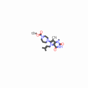 CC(C)=CCn1c(N2CCCN(C(=O)OC(C)(C)C)CC2)c(C#N)c2c1c(=O)[nH]c(=O)n2C